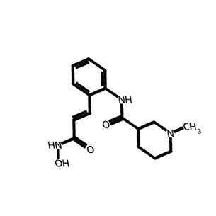 CN1CCCC(C(=O)Nc2ccccc2C=CC(=O)NO)C1